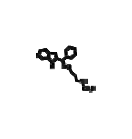 O=C(O)NCCCO/N=C(\c1ccccc1)c1cc2ccncc2[nH]1